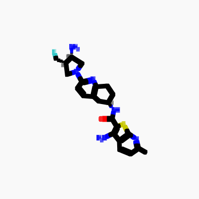 Cc1ccc2c(N)c(C(=O)N[C@H]3CCc4nc(N5C[C@H](CF)[C@H](N)C5)ccc4C3)sc2n1